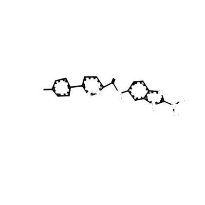 CC(C)N(C)c1nc2ccc(NC(=O)c3ccc(-c4ccc(F)cc4)nn3)cc2[nH]1